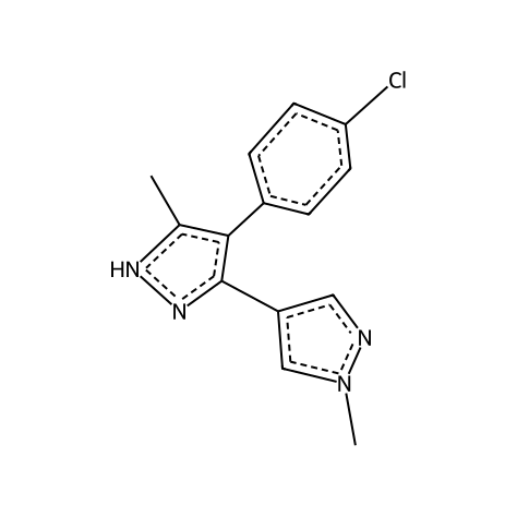 Cc1[nH]nc(-c2cnn(C)c2)c1-c1ccc(Cl)cc1